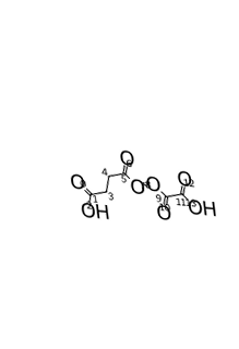 O=C(O)CCC(=O)OOC(=O)C(=O)O